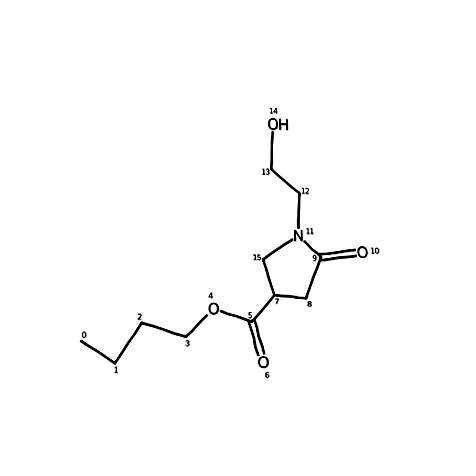 CCCCOC(=O)C1CC(=O)N(CCO)C1